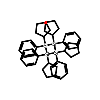 c1ccc([Si]2(C3CCCC3)[Si](c3ccccc3)(C3CCCC3)[Si](c3ccccc3)(C3CCCC3)[Si]2(c2ccccc2)C2CCCC2)cc1